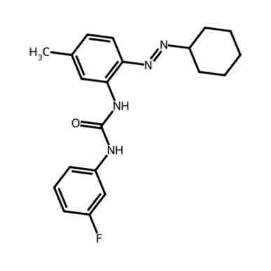 Cc1ccc(/N=N/C2CCCCC2)c(NC(=O)Nc2cccc(F)c2)c1